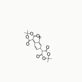 CC1(C)OC(=O)C(=C2C=CC(C3C(=O)OC(C)(C)OC3=O)C=C2F)C(=O)O1